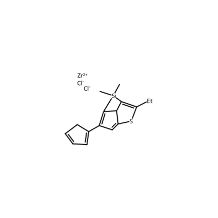 CCC1=C2C3C(=CC(C4=CC=CC4)=C3[Si]2(C)C)S1.[Cl-].[Cl-].[Zr+2]